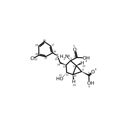 N[C@]1(C(=O)O)[C@@H]2[C@@H](C(=O)O)[C@@H]2[C@H](O)[C@H]1CSc1cccc(Cl)c1